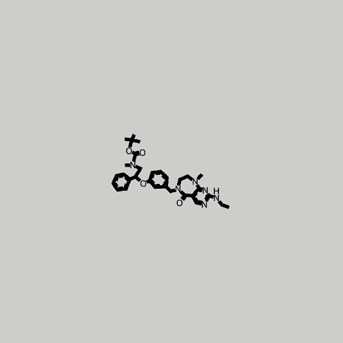 CCNc1ncc2c(n1)N(C)CCN(Cc1cccc(OC(CN(C)C(=O)OC(C)(C)C)c3ccccc3)c1)C2=O